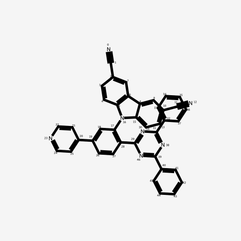 N#Cc1ccc2c(c1)c1cc(C#N)ccc1n2-c1cc(-c2ccncc2)ccc1-c1nc(-c2ccccc2)nc(-c2ccccc2)n1